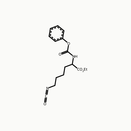 CCOC(=O)C(CCCCN=C=O)NC(=O)Oc1ccccc1